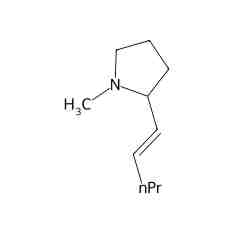 CCCC=CC1CCCN1C